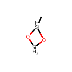 C[SiH]1O[SiH2]O1